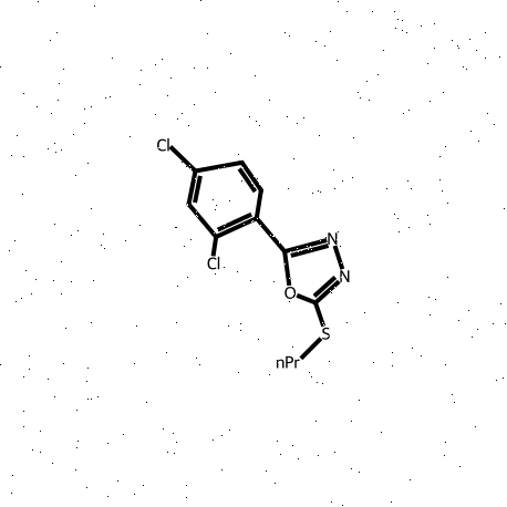 CCCSc1nnc(-c2ccc(Cl)cc2Cl)o1